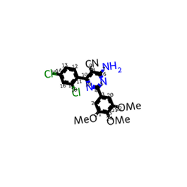 COc1cc(-c2nc(N)c(C#N)c(-c3ccc(Cl)cc3Cl)n2)cc(OC)c1OC